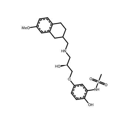 COc1ccc2c(c1)CC(CNC[C@H](O)COc1ccc(O)c(NS(C)(=O)=O)c1)CC2